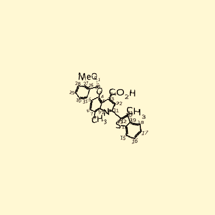 COC[C@H](Oc1ccc(C)c2nc(-c3sc4ccccc4c3C)cc(C(=O)O)c12)c1ccccc1